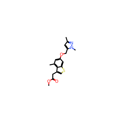 COC(=O)Cc1csc2cc(OCc3cc(C)nn3C)cc(C)c12